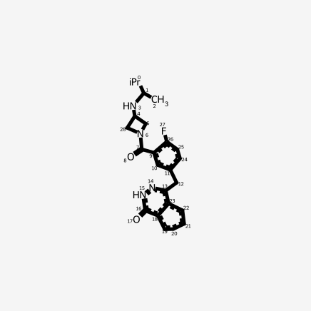 CC(C)C(C)NC1CN(C(=O)c2cc(Cc3n[nH]c(=O)c4ccccc34)ccc2F)C1